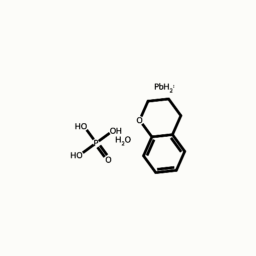 O.O=P(O)(O)O.[PbH2].c1ccc2c(c1)CCCO2